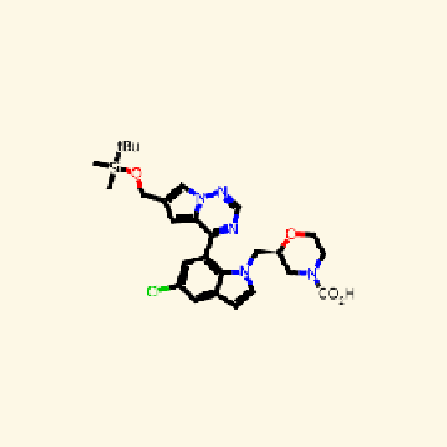 CC(C)(C)[Si](C)(C)OCc1cc2c(-c3cc(Cl)cc4ccn(C[C@@H]5CN(C(=O)O)CCO5)c34)ncnn2c1